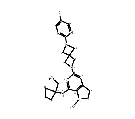 [O-][S+]1CCc2nc(N3CC4(CN(c5ncc(Cl)cn5)C4)C3)nc(NC3(CO)CCC3)c21